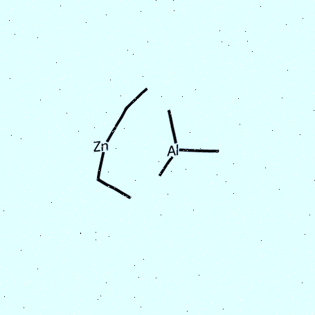 C[CH2][Zn][CH2]C.[CH3][Al]([CH3])[CH3]